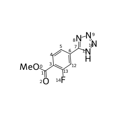 COC(=O)c1ccc(-c2nnn[nH]2)cc1F